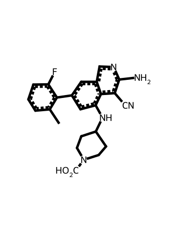 Cc1cccc(F)c1-c1cc(NC2CCN(C(=O)O)CC2)c2c(C#N)c(N)ncc2c1